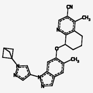 Cc1cc2cnn(-c3cnn(C45CC(C4)C5)c3)c2cc1OC1CCCc2c1ncc(C#N)c2C